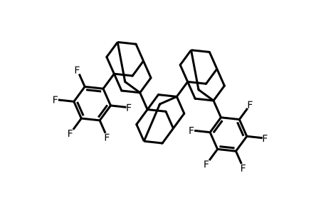 Fc1c(F)c(F)c(C23CC4CC(C2)CC(C25CC6CC(C2)CC(C27CC8CC(CC(c9c(F)c(F)c(F)c(F)c9F)(C8)C2)C7)(C6)C5)(C4)C3)c(F)c1F